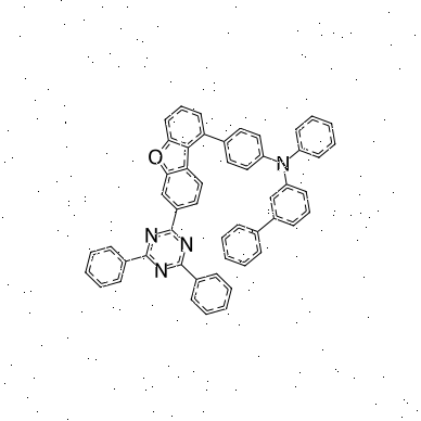 c1ccc(-c2cccc(N(c3ccccc3)c3ccc(-c4cccc5oc6cc(-c7nc(-c8ccccc8)nc(-c8ccccc8)n7)ccc6c45)cc3)c2)cc1